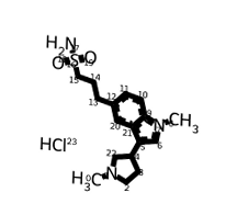 CN1CCC(c2cn(C)c3ccc(CCCS(N)(=O)=O)cc23)C1.Cl